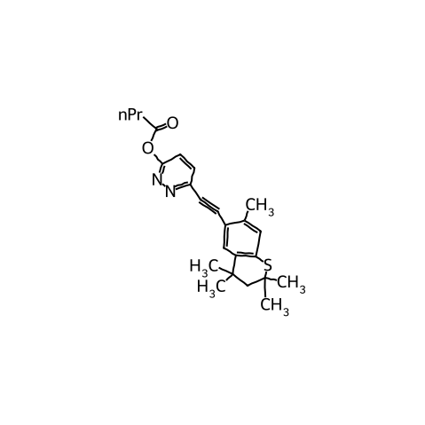 CCCC(=O)Oc1ccc(C#Cc2cc3c(cc2C)SC(C)(C)CC3(C)C)nn1